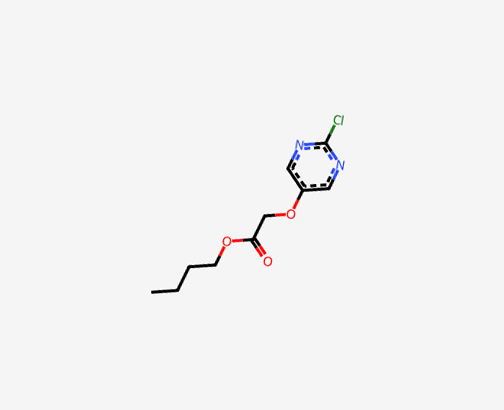 CCCCOC(=O)COc1cnc(Cl)nc1